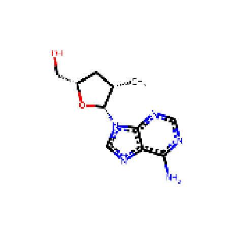 C[C@H]1C[C@@H](CO)O[C@H]1n1cnc2c(N)ncnc21